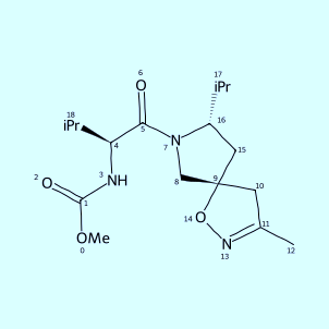 COC(=O)N[C@H](C(=O)N1C[C@]2(CC(C)=NO2)C[C@H]1C(C)C)C(C)C